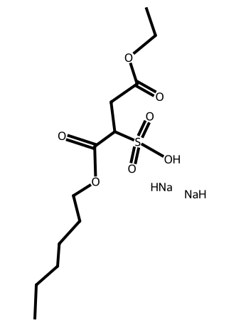 CCCCCCOC(=O)C(CC(=O)OCC)S(=O)(=O)O.[NaH].[NaH]